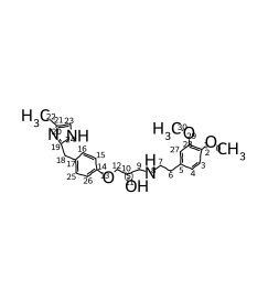 COc1ccc(CCNC[C@H](O)COc2ccc(Cc3nc(C)c[nH]3)cc2)cc1OC